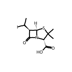 CC(I)[C@@H]1C(=O)N2[C@@H]1SC(C)(C)[C@@H]2C(=O)O